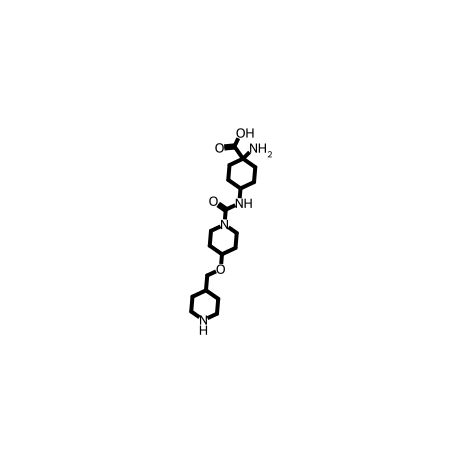 NC1(C(=O)O)CCC(NC(=O)N2CCC(OCC3CCNCC3)CC2)CC1